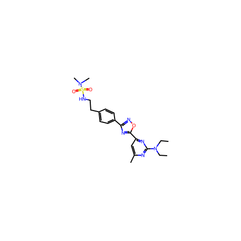 CCN(CC)c1nc(C)cc(-c2nc(-c3ccc(CCNS(=O)(=O)N(C)C)cc3)no2)n1